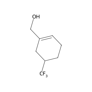 OCC1=CCCC(C(F)(F)F)C1